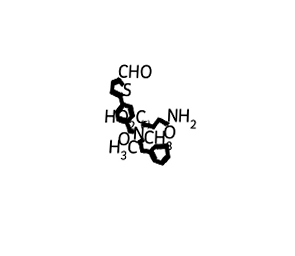 CC(C)(Cc1ccccc1)N(C(=O)c1ccc(-c2ccc(C=O)s2)cc1)[C@@H](CCC(N)=O)C(=O)O